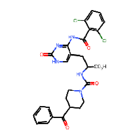 O=C(Nc1nc(=O)[nH]cc1CC(NC(=O)N1CCC(C(=O)c2ccccc2)CC1)C(=O)O)c1c(Cl)cccc1Cl